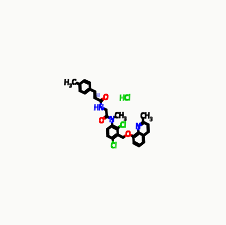 Cc1ccc(/C=C/C(=O)NCC(=O)N(C)c2ccc(Cl)c(COc3cccc4ccc(C)nc34)c2Cl)cc1.Cl